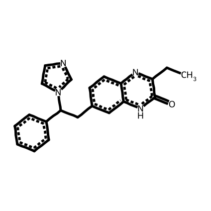 CCc1nc2ccc(CC(c3ccccc3)n3ccnc3)cc2[nH]c1=O